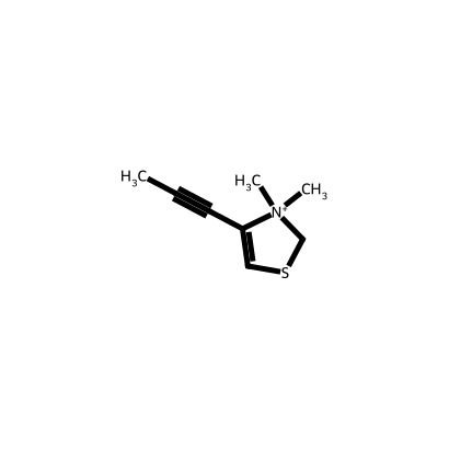 CC#CC1=CSC[N+]1(C)C